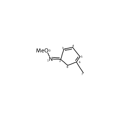 CON=C1[C]=CC=C(C)C1